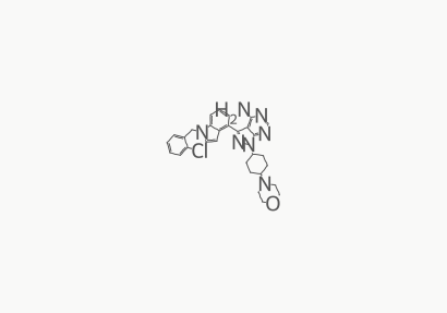 Nc1ncnc2c1c(-c1cccc3c1ccn3Cc1ccccc1Cl)nn2[C@H]1CC[C@H](N2CCOCC2)CC1